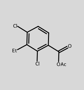 CCc1c(Cl)ccc(C(=O)OC(C)=O)c1Cl